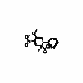 COC1=CC(c2ccccc2)C(F)(C(=O)O)C=C1[N+](=O)[O-]